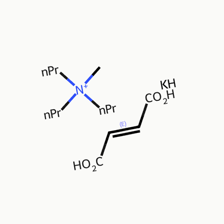 CCC[N+](C)(CCC)CCC.O=C(O)/C=C/C(=O)O.[KH]